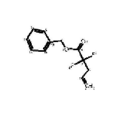 C=CCC(F)(F)C(=O)OCc1ccccc1